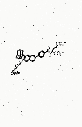 COCCOCOc1cc2ccc(-c3ccc(C(=O)N[C@@H](CCC(=O)O)C(=O)O)cc3)cc2cc1C12CC3CC(CC(C3)C1)C2